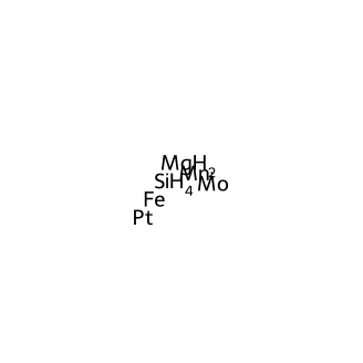 [Fe].[MgH2].[Mn].[Mo].[Pt].[SiH4]